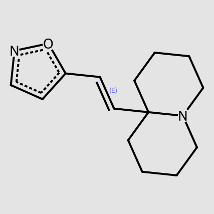 C(=C\C12CCCCN1CCCC2)/c1ccno1